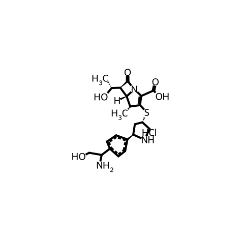 C[C@@H](O)[C@H]1C(=O)N2C(C(=O)O)=C(S[C@@H]3CN[C@@H](c4ccc(C(N)CO)cc4)C3)[C@H](C)[C@H]12.Cl